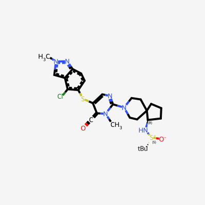 CN1C(=C=O)C(Sc2ccc3nn(C)cc3c2Cl)=CN=C1N1CCC2(CCC[C@H]2N[S@+]([O-])C(C)(C)C)CC1